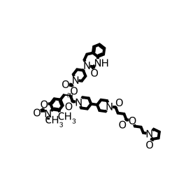 Cc1cc(C[C@@H](OC(=O)N2CCC(N3CCc4ccccc4NC3=O)CC2)C(=O)N2CCC(C3CCN(C(=O)CCC(=O)OCCCN4CCCC4=O)CC3)CC2)cc2oc(=O)n(C)c12